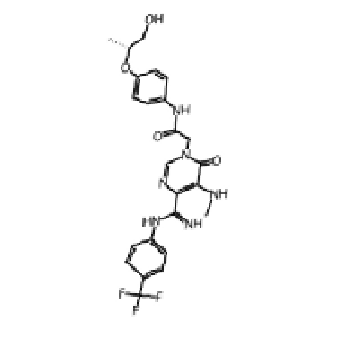 CNc1c(C(=N)Nc2ccc(C(F)(F)F)cc2)ncn(CC(=O)Nc2ccc(O[C@H](C)CO)cc2)c1=O